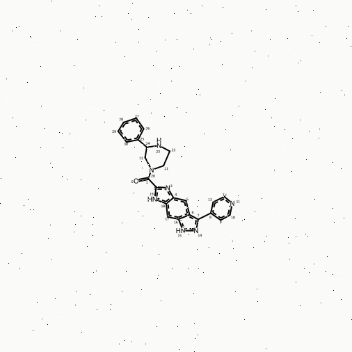 O=C(c1nc2cc3c(-c4ccncc4)n[nH]c3cc2[nH]1)N1CCNC(c2ccccc2)C1